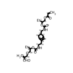 C=CC(=O)OCC(CC)OC(=O)NCC1CC2CC1CC2CCNC(=O)OC(CC)COCC(=C)C=O